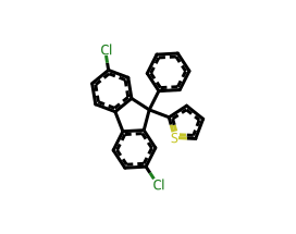 Clc1ccc2c(c1)C(c1ccccc1)(c1cccs1)c1cc(Cl)ccc1-2